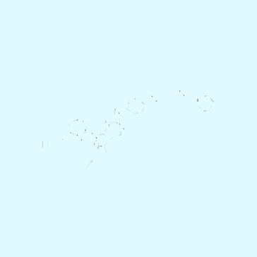 C=CCn1c(=O)c2cnc(Nc3ccc(N4CC5CC(CN(Cc6ccccc6)C5)C4)cc3)nc2n1-c1cccc(C(C)(C)O)n1